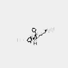 Cc1cc(C)c(S(=O)(=O)N[C@@H](CCCCCC(=O)NO)C(=O)Nc2ccccc2)c(C)c1